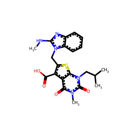 CNc1nc2ccccc2n1Cc1sc2c(c1C(=O)O)c(=O)n(C)c(=O)n2CC(C)C